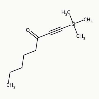 CCCCCC(=O)C#C[Si](C)(C)C